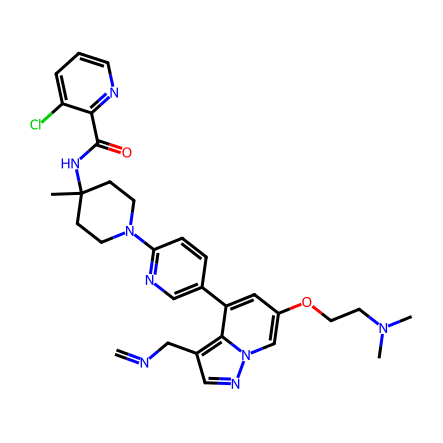 C=NCc1cnn2cc(OCCN(C)C)cc(-c3ccc(N4CCC(C)(NC(=O)c5ncccc5Cl)CC4)nc3)c12